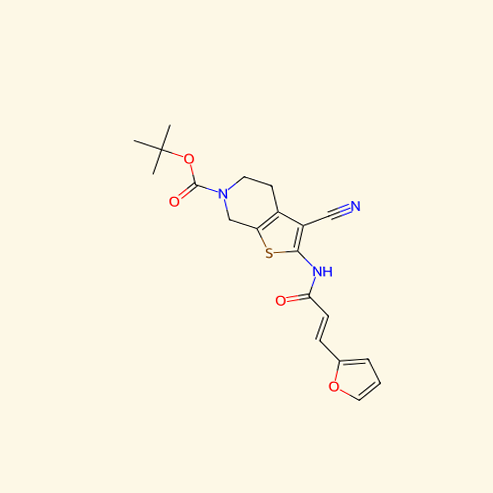 CC(C)(C)OC(=O)N1CCc2c(sc(NC(=O)C=Cc3ccco3)c2C#N)C1